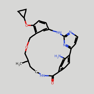 CC1CCNC(=O)c2ccc(c(N)c2)-c2ccnc(n2)Nc2ccc(OC3CC3)c(c2)COC1